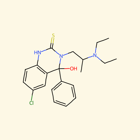 CCN(CC)C(C)CN1C(=S)Nc2ccc(Cl)cc2C1(O)c1ccccc1